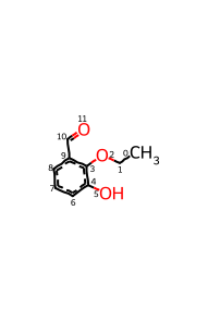 CCOc1c(O)cccc1C=O